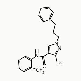 CC(C)c1nn(CCCc2ccccc2)cc1C(=O)Nc1ccccc1C(F)(F)F